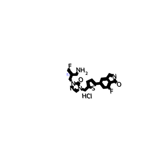 Cl.NC/C(=C\F)Cn1ncn(Cc2ccc(-c3cc(F)c4c(c3)C=NC4=O)s2)c1=O